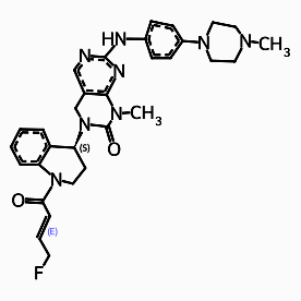 CN1CCN(c2ccc(Nc3ncc4c(n3)N(C)C(=O)N([C@H]3CCN(C(=O)/C=C/CF)c5ccccc53)C4)cc2)CC1